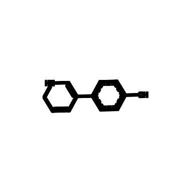 Oc1ccc(C2=CNCC=C2)cc1